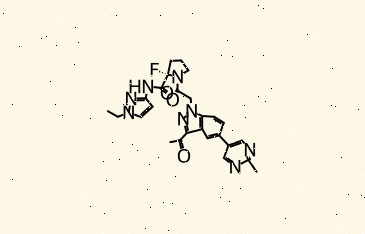 CCn1ccc(NC(=O)[C@@]2(F)CCCN2C(=O)Cn2nc(C(C)=O)c3cc(-c4cnc(C)nc4)ccc32)n1